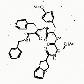 COC[C@H](NC(=O)C1Cc2ccccc2C1)C(=O)N[C@@H](Cc1ccc(OC)cc1)C(=O)N[C@@H](Cc1ccccc1)C(=O)C(=O)NCc1ccccc1